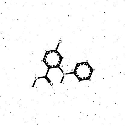 COC(=O)c1ccc(Cl)cc1N(C)c1ccccc1